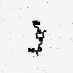 CC(S)OCCN1CCN(CCC(C)(C)C)[C@@H](C)C1